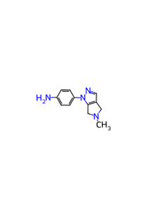 CN1Cc2cnn(-c3ccc(N)cc3)c2C1